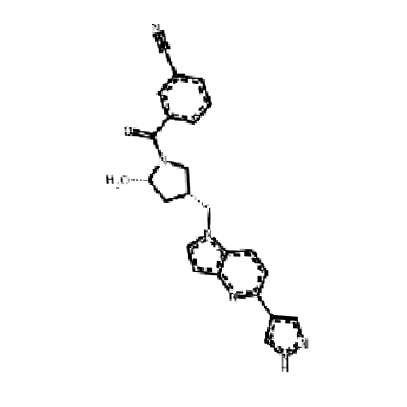 C[C@H]1C[C@@H](Cn2ccc3nc(-c4cn[nH]c4)ccc32)CN1C(=O)c1cccc(C#N)c1